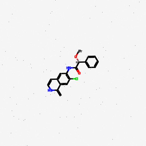 C=C1NC=Cc2cc(NC(=O)[C@H](OC(C)C)c3ccccc3)c(Cl)cc21